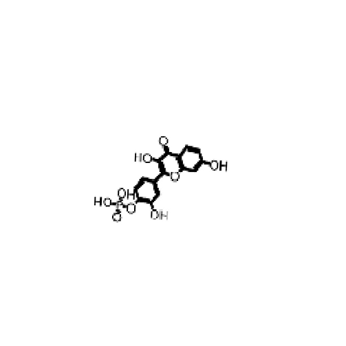 O=c1c(O)c(-c2ccc(OP(=O)(O)O)c(O)c2)oc2cc(O)ccc12